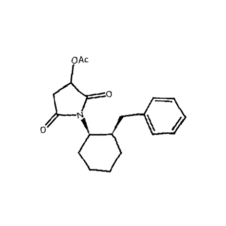 CC(=O)OC1CC(=O)N([C@@H]2CCCC[C@@H]2Cc2ccccc2)C1=O